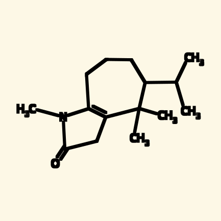 CC(C)C1CCCC2=C(CC(=O)N2C)C1(C)C